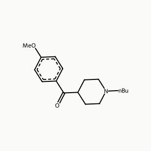 CCCCN1CCC(C(=O)c2ccc(OC)cc2)CC1